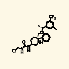 Cc1cc([C@@H](C)OC[C@@]2(c3ccccc3)CC[C@H](NC(=O)NCCl)CN2)cc(C(F)(F)F)c1